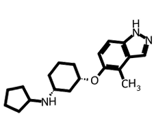 Cc1c(O[C@H]2CCC[C@@H](NC3CCCC3)C2)ccc2[nH]ncc12